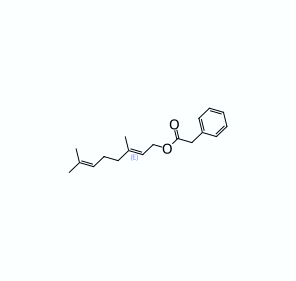 CC(C)=CCC/C(C)=C/COC(=O)Cc1ccccc1